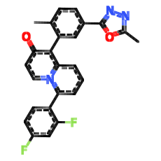 Cc1nnc(-c2ccc(C)c(-c3c(=O)ccn4c(-c5ccc(F)cc5F)cccc34)c2)o1